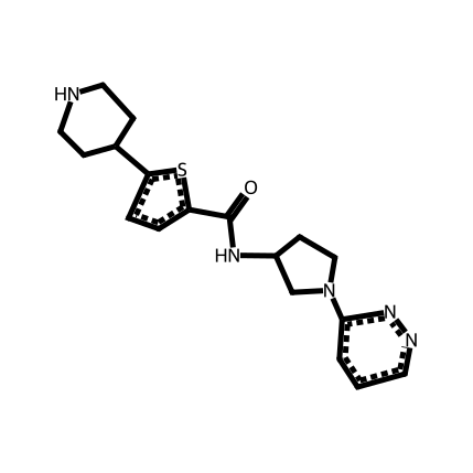 O=C(NC1CCN(c2cccnn2)C1)c1ccc(C2CCNCC2)s1